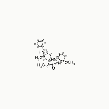 CCN(C(=O)c1nc2c(OC)cccc2[nH]1)[C@H]1CCCC(C)(NCc2ccccc2)C1